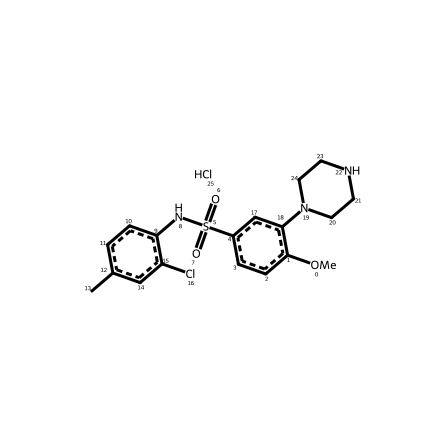 COc1ccc(S(=O)(=O)Nc2ccc(C)cc2Cl)cc1N1CCNCC1.Cl